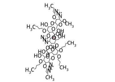 CCCCOC1[C@H](O[C@H]2OC(CO)[C@@H](OCCCC)[C@H](OCCCC)C2N=[N+]=[N-])C(C(=O)C(=O)O)O[C@@H](O[C@@H]2C(CO)O[C@H](O[C@@H]3C(C(=O)O)O[C@@H](O[C@@H]4C(CO)O[C@H](OC)C(N=[N+]=[N-])[C@H]4OCCCC)C(O)[C@H]3OCCCC)C(N=[N+]=[N-])[C@H]2O)[C@H]1OCCCC